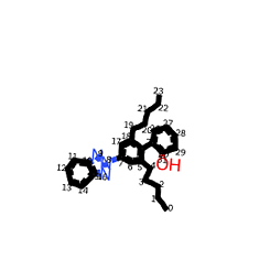 CCCCCc1cc(-n2nc3ccccc3n2)cc(CCCCC)c1-c1ccccc1O